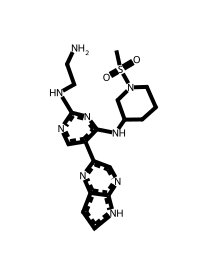 CS(=O)(=O)N1CCCC(Nc2nc(NCCN)ncc2-c2cnc3[nH]ccc3n2)C1